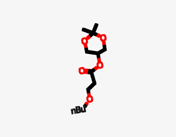 CCCCOCCC(=O)OC1COC(C)(C)OC1